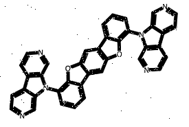 c1cc(-n2c3cnccc3c3ccncc32)c2oc3cc4c(cc3c2c1)oc1c(-n2c3cnccc3c3ccncc32)cccc14